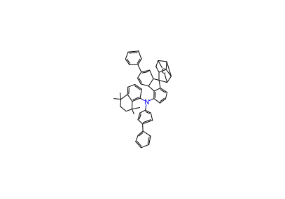 CC1(C)CCC(C)(C)c2c(N(c3ccc(-c4ccccc4)cc3)c3cccc4c3C3C=CC(c5ccccc5)=CC3C43C4CC5CC3C3C5C34)cccc21